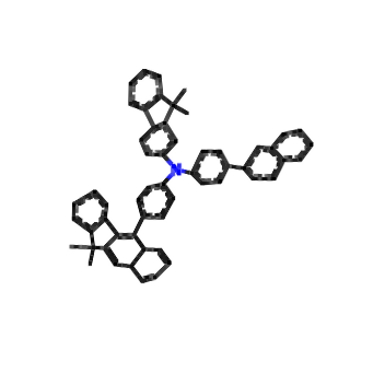 CC1(C)C2=CC3C=CC=CC3C(c3ccc(N(c4ccc(-c5ccc6ccccc6c5)cc4)c4ccc5c(c4)C(C)(C)c4ccccc4-5)cc3)=C2c2ccccc21